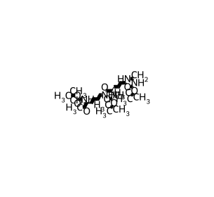 C=C(NCCCC[C@H](NC(=O)OC(C)(C)C)C(=O)NCCCC[C@H](NC(=O)OC(C)(C)C)C(C)=O)NC(=O)OC(C)(C)C